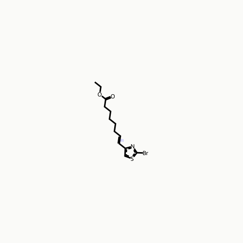 CCOC(=O)CCCCC/C=C/c1csc(Br)n1